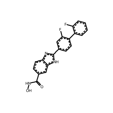 O=C(NO)c1ccc2nc(-c3ccc(-c4ccccc4F)c(F)c3)[nH]c2c1